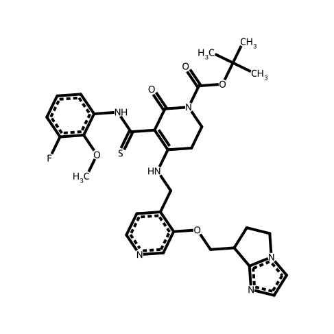 COc1c(F)cccc1NC(=S)C1=C(NCc2ccncc2OCC2CCn3ccnc32)CCN(C(=O)OC(C)(C)C)C1=O